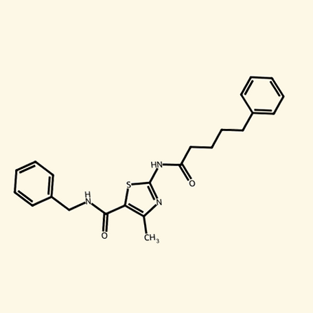 Cc1nc(NC(=O)CCCCc2ccccc2)sc1C(=O)NCc1ccccc1